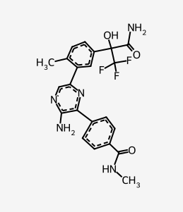 CNC(=O)c1ccc(-c2nc(-c3cc(C(O)(C(N)=O)C(F)(F)F)ccc3C)cnc2N)cc1